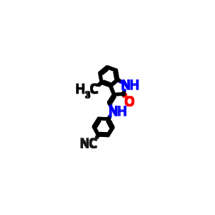 Cc1cccc2c1C(=CNc1ccc(C#N)cc1)C(=O)N2